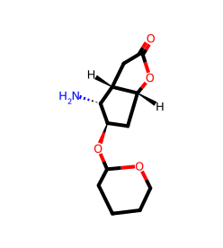 N[C@@H]1[C@@H]2CC(=O)O[C@@H]2C[C@H]1OC1CCCCO1